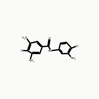 Nc1cc(NC(=O)c2cc(N)c(Cl)c(N)c2)ccc1Cl